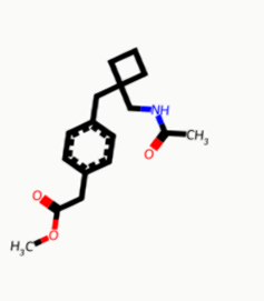 COC(=O)Cc1ccc(CC2(CNC(C)=O)CCC2)cc1